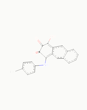 Cc1ccc(NC2=c3cc4ccccc4cc3=C(O)C(=O)C2=O)cc1